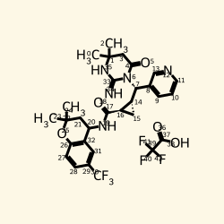 CC1(C)CC(=O)N([C@H](c2cccnc2)[C@@H]2C[C@H]2C(=O)NC2CC(C)(C)Oc3ccc(C(F)(F)F)cc32)C(=N)N1.O=C(O)C(F)(F)F